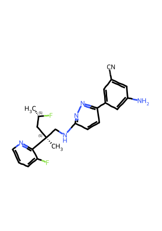 C[C@H](F)C[C@@](C)(CNc1ccc(-c2cc(N)cc(C#N)c2)nn1)c1ncccc1F